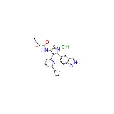 C[C@@H]1C[C@H]1C(=O)Nc1snc(-c2ccc3nn(C)cc3c2)c1-c1cccc(C2CCC2)n1.Cl